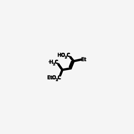 [CH2]C(C=C(CC)C(=O)O)C(=O)OCC